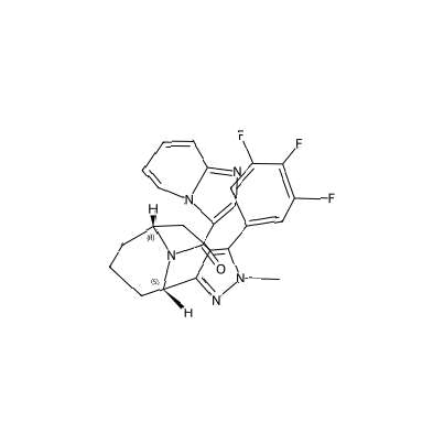 Cn1nc2c(c1-c1cc(F)c(F)c(F)c1)C[C@H]1CCC[C@@H]2N1C(=O)c1cnc2ccccn12